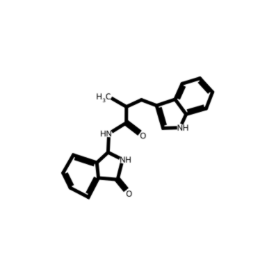 CC(Cc1c[nH]c2ccccc12)C(=O)NC1NC(=O)c2ccccc21